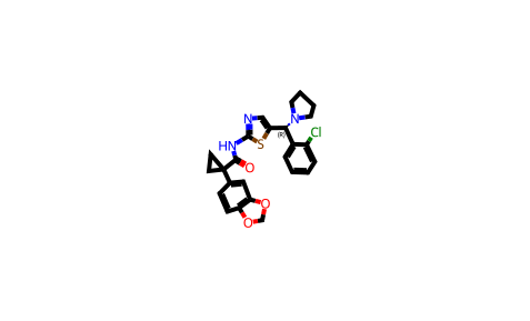 O=C(Nc1ncc([C@@H](c2ccccc2Cl)N2CCCC2)s1)C1(c2ccc3c(c2)OCO3)CC1